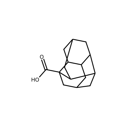 O=C(O)C12CC3CC4C5CC(CC41)CC2C5C3